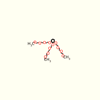 COCCOCCOCCOc1cccc(OCCOCCOCCOC)c1OCCOCCOCCOC